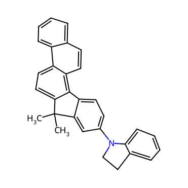 CC1(C)c2cc(N3CCc4ccccc43)ccc2-c2c1ccc1c2ccc2ccccc21